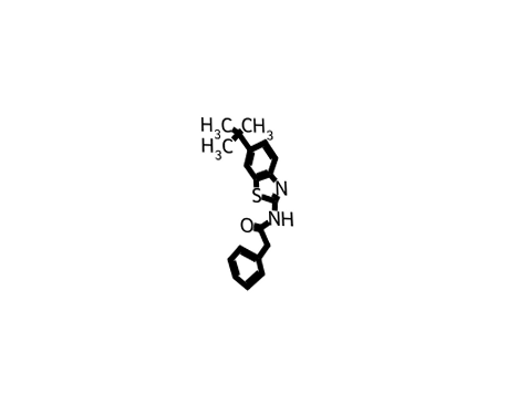 CC(C)(C)c1ccc2nc(NC(=O)Cc3ccccc3)sc2c1